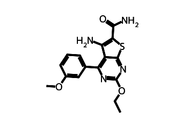 CCOc1nc(-c2cccc(OC)c2)c2c(N)c(C(N)=O)sc2n1